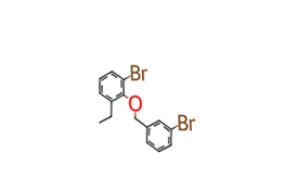 CCc1cccc(Br)c1OCc1cccc(Br)c1